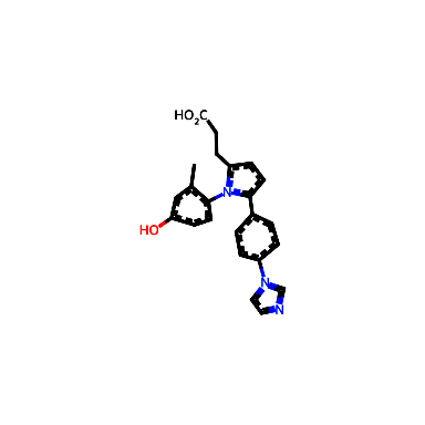 Cc1cc(O)ccc1-n1c(CCC(=O)O)ccc1-c1ccc(-n2ccnc2)cc1